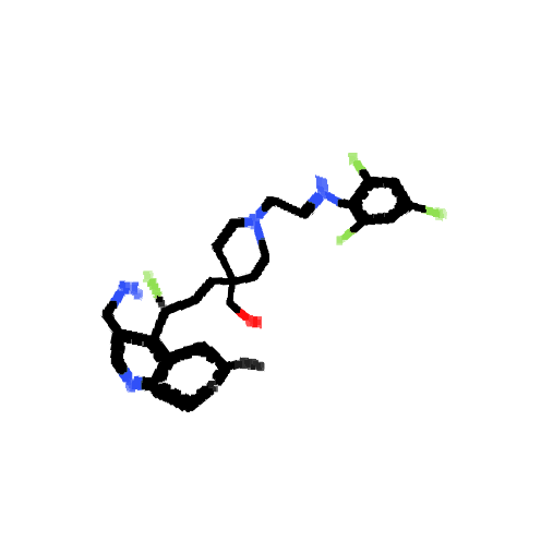 COc1ccc2ncc(CN)c([C@H](F)CCC3(CO)CCN(CCNc4c(F)cc(F)cc4F)CC3)c2c1